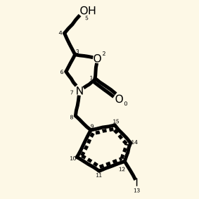 O=C1OC(CO)CN1Cc1ccc(I)cc1